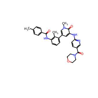 Cc1ccc(C(=O)Nc2cccc(-c3cc(Nc4ccc(C(=O)N5CCOCC5)cn4)c(=O)n(C)c3)c2C)cc1